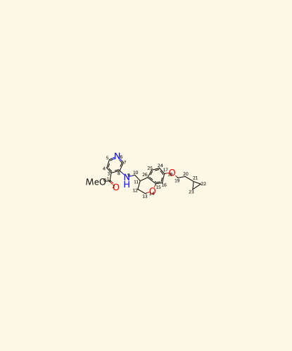 COC(=O)c1ccncc1NCC1CCOc2cc(OCCC3CC3)ccc21